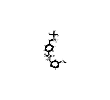 COc1cccc(NS(=O)(=O)c2ccc(C=[N+]([O-])C(C)(C)C)cc2)c1